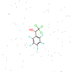 OC(c1c(F)c(F)c(F)c(F)c1F)C(Cl)(Cl)Cl